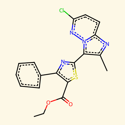 CCOC(=O)c1sc(-c2c(C)nc3ccc(Cl)nn23)nc1-c1ccccc1